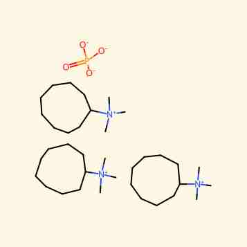 C[N+](C)(C)C1CCCCCCCC1.C[N+](C)(C)C1CCCCCCCC1.C[N+](C)(C)C1CCCCCCCC1.O=P([O-])([O-])[O-]